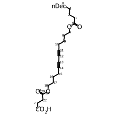 CCCCCCCCCCCCCC(=O)OCCCCC#CC#CCCCCOC(=O)CCC(=O)O